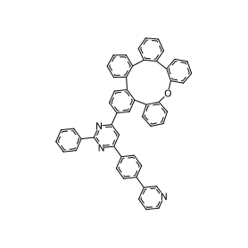 c1ccc(-c2nc(-c3ccc(-c4cccnc4)cc3)cc(-c3ccc4c(c3)-c3ccccc3Oc3ccccc3-c3ccccc3-c3ccccc3-4)n2)cc1